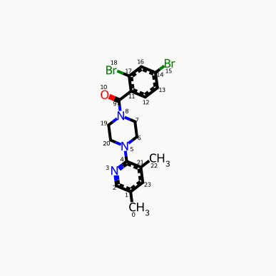 Cc1cnc(N2CCN(C(=O)c3ccc(Br)cc3Br)CC2)c(C)c1